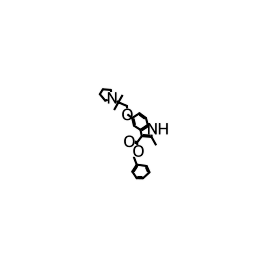 Cc1[nH]c2ccc(OCC(C)(C)N3CCCC3)cc2c1C(=O)OCc1ccccc1